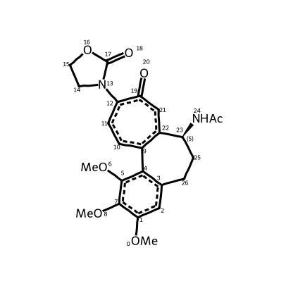 COc1cc2c(c(OC)c1OC)-c1ccc(N3CCOC3=O)c(=O)cc1[C@@H](NC(C)=O)CC2